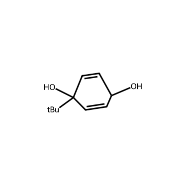 CC(C)(C)C1(O)C=CC(O)C=C1